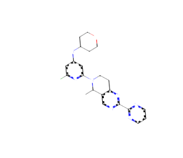 CC1c2cnc(-c3ncccn3)nc2CCN1c1cc(NC2CCOCC2)cc(F)n1